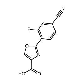 N#Cc1ccc(-c2nc(C(=O)O)co2)c(F)c1